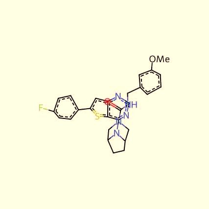 COc1cccc(CNC(=O)N2CC3CCC(C2)N3c2ncnc3cc(-c4ccc(F)cc4)sc23)c1